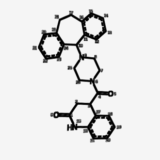 O=C1CC(C(=O)N2CCN(C3c4ccccc4CCc4ccccc43)CC2)c2ccccc2N1